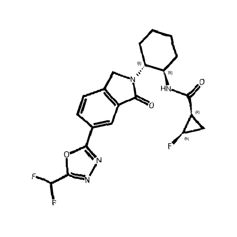 O=C(N[C@@H]1CCCC[C@H]1N1Cc2ccc(-c3nnc(C(F)F)o3)cc2C1=O)[C@H]1C[C@H]1F